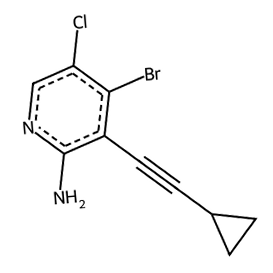 Nc1ncc(Cl)c(Br)c1C#CC1CC1